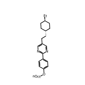 CCCCCCCCOc1ccc(-c2ncc(CC[C@H]3CC[C@H](CC)CC3)cn2)cc1